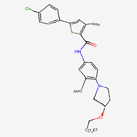 CCOC(=O)CO[C@@H]1CCN(c2ccc(NC(=O)c3sc(-c4ccc(Cl)cc4)cc3NC)cc2OC)C1